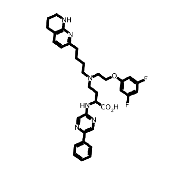 O=C(O)C(CCN(CCCCc1ccc2c(n1)NCCC2)CCOc1cc(F)cc(F)c1)Nc1cnc(-c2ccccc2)cn1